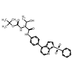 CC(O)[C@H](NC(=O)OC(C)(C)C)C(=O)Nc1ccc(-c2ccnc3c2ccn3S(=O)(=O)c2ccccc2)cc1